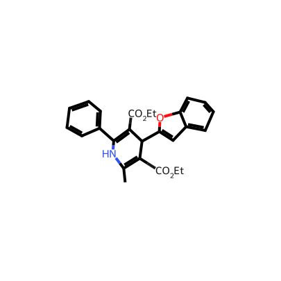 CCOC(=O)C1=C(C)NC(c2ccccc2)=C(C(=O)OCC)C1c1cc2ccccc2o1